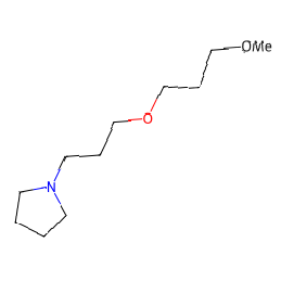 COCCCOCCCN1CCCC1